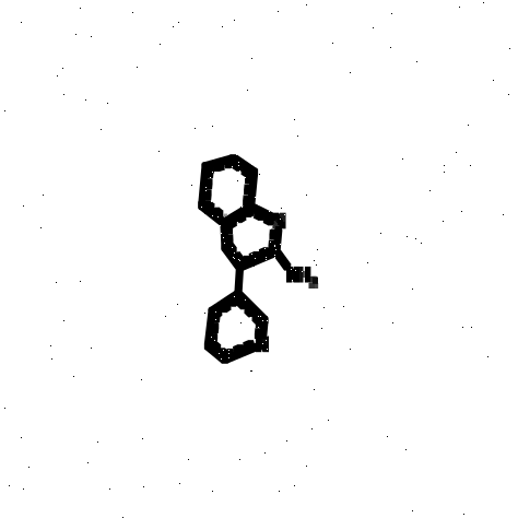 Nc1nc2ccccc2cc1-c1cccnc1